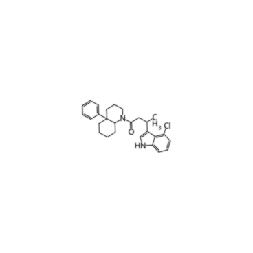 CC(CC(=O)N1CCCC2(c3ccccc3)CCCCC12)c1c[nH]c2cccc(Cl)c12